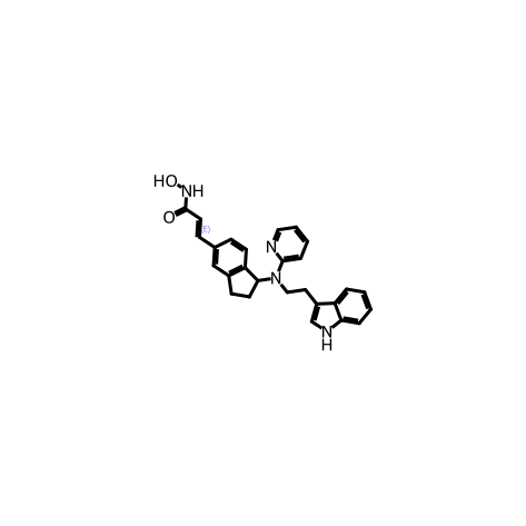 O=C(/C=C/c1ccc2c(c1)CCC2N(CCc1c[nH]c2ccccc12)c1ccccn1)NO